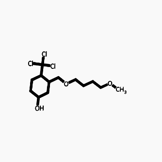 COCCCCOCC1CC(O)CCC1C(Cl)(Cl)Cl